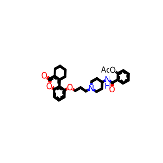 CC(=O)Oc1ccccc1C(=O)NC1CCN(CCCOc2cccc3oc(=O)c4c(c23)CCCC4)CC1